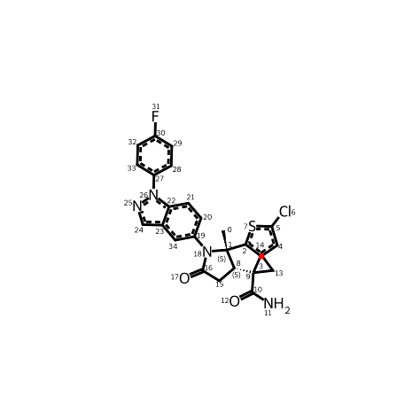 C[C@@]1(c2ccc(Cl)s2)[C@H](C2(C(N)=O)CC2)CC(=O)N1c1ccc2c(cnn2-c2ccc(F)cc2)c1